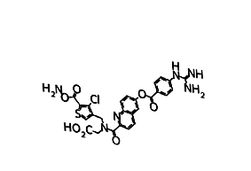 N=C(N)Nc1ccc(C(=O)Oc2ccc3nc(C(=O)N(CC(=O)O)Cc4csc(C(=O)ON)c4Cl)ccc3c2)cc1